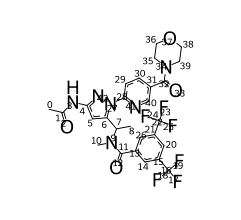 CC(=O)Nc1cc(C(C)N(C)C(=O)c2cc(C(F)(F)F)cc(C(F)(F)F)c2)n(-c2ccc(C(=O)N3CCOCC3)cn2)n1